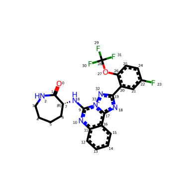 O=C1NCCCC[C@H]1Nc1nc2ccccc2c2nc(-c3cc(F)ccc3OC(F)(F)F)nn12